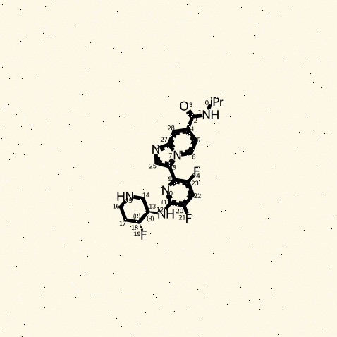 CC(C)NC(=O)c1ccn2c(-c3nc(N[C@@H]4CNCC[C@H]4F)c(F)cc3F)cnc2c1